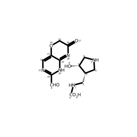 O=C(O)NC[C@H]1CNC[C@H]1O.O=CC1=NC=C2OCC(=O)N=C2N1